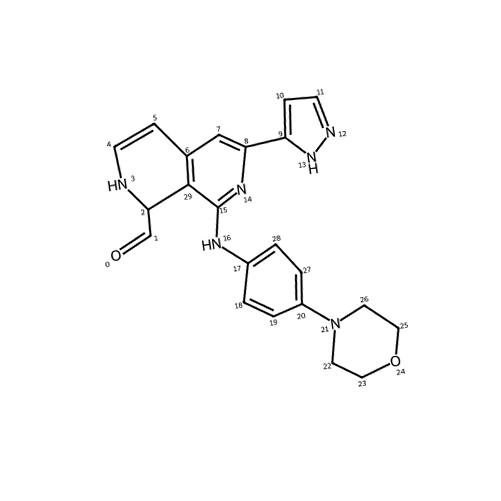 O=CC1NC=Cc2cc(-c3ccn[nH]3)nc(Nc3ccc(N4CCOCC4)cc3)c21